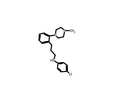 CN1CCN(c2ccccc2CCCNc2ccc(Cl)cc2)CC1